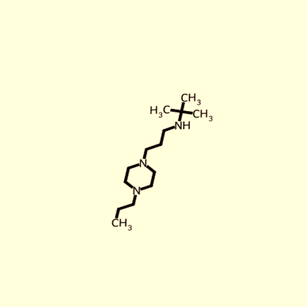 CCCN1CCN(CCCNC(C)(C)C)CC1